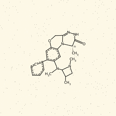 CC1CN(C)C1N(C)c1cc2c(cc1-c1ccccc1)OCC1=NNC(=O)[C@H](C)N12